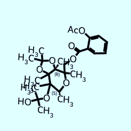 CC(=O)Oc1ccccc1C(=O)OCC1(C)O[C@@H](C)C(C)(OC(C)(C)O)C2(C)OC(C)(C)O[C@]12C